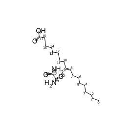 CCCCCCCCC=CCCCCCCCC(=O)O.NC(=O)C(N)=O